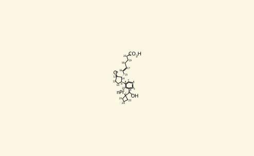 CCCC1(C(O)c2cccc([C@H]3CCC(=O)[C@@H]3CC=CCCCC(=O)O)c2)CCC1